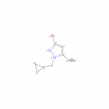 CCCCc1cc(Br)nn1CC1CC1